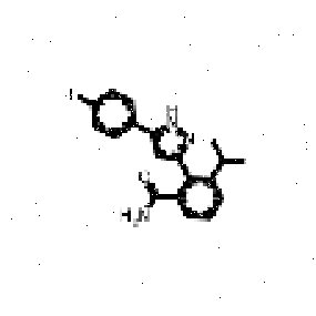 CC(C)c1cccc(C(N)=O)c1-c1cc(-c2ccc(F)cc2)[nH]n1